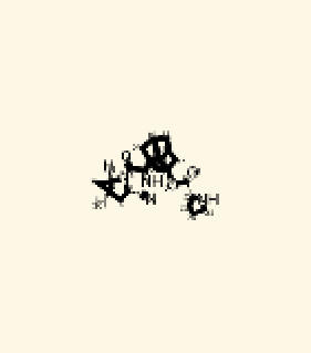 N#C[C@@H]1C[C@@H]2C[C@@H]2N1C(=O)[C@@H](N)C12CC3CC(CC(OC(=O)[C@H]4CCCN4)(C3)C1)C2